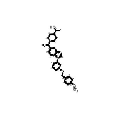 CC(O)C1CCN(C(=O)c2ccc3c(c2)ncn3-c2cccc(OCc3ccc(OC(F)(F)F)cc3)c2)CC1